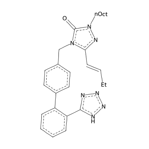 CC/C=C/c1nn(CCCCCCCC)c(=O)n1Cc1ccc(-c2ccccc2-c2nnn[nH]2)cc1